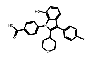 O=C(O)c1ccc(-n2c(C3CCOCC3)c(-c3ccc(F)cc3)c3cccc(O)c32)cc1